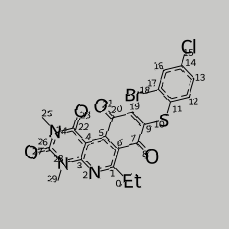 CCc1nc2c(c3c1C(=O)C(Sc1ccc(Cl)cc1Br)=CC3=O)c(=O)n(C)c(=O)n2C